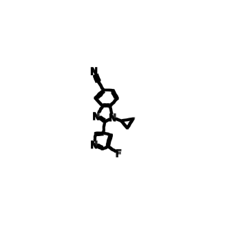 N#Cc1ccc2c(c1)nc(-c1cncc(F)c1)n2C1CC1